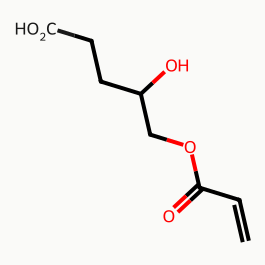 C=CC(=O)OCC(O)CCC(=O)O